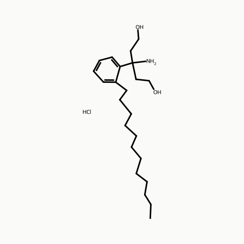 CCCCCCCCCCCCc1ccccc1C(N)(CCO)CCO.Cl